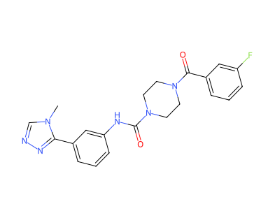 Cn1cnnc1-c1cccc(NC(=O)N2CCN(C(=O)c3cccc(F)c3)CC2)c1